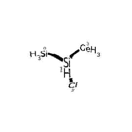 [SiH3][SiH](Cl)[GeH3]